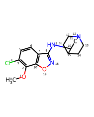 COc1c(Cl)ccc2c(NC3CN4CCC3CC4)noc12